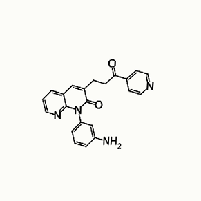 Nc1cccc(-n2c(=O)c(CCC(=O)c3ccncc3)cc3cccnc32)c1